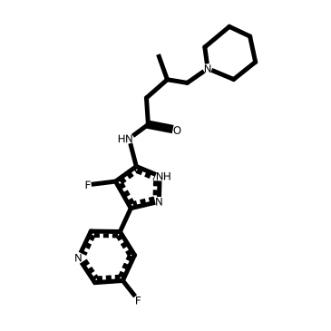 CC(CC(=O)Nc1[nH]nc(-c2cncc(F)c2)c1F)CN1CCCCC1